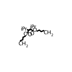 C=CCCCOC(=O)/C(=C(\C(=O)OCCCC=C)C(C)C)C(C)C